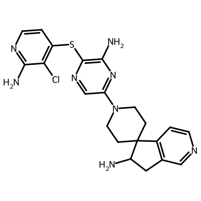 Nc1nc(N2CCC3(CC2)c2ccncc2CC3N)cnc1Sc1ccnc(N)c1Cl